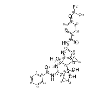 CN1C(NC(=O)c2ccccc2)=NC(C)(c2nc(NC(=O)c3ccc(OC(F)F)cn3)cs2)C(C2CC2)S1(O)O